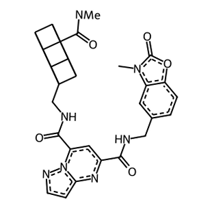 CNC(=O)C12C3C4C1C1C2C3C41CNC(=O)c1cc(C(=O)NCc2ccc3oc(=O)n(C)c3c2)nc2ccnn12